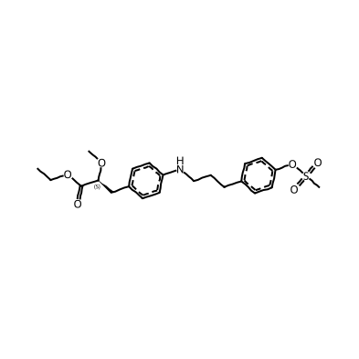 CCOC(=O)[C@H](Cc1ccc(NCCCc2ccc(OS(C)(=O)=O)cc2)cc1)OC